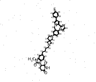 Cn1c(=O)n(C2CCC(=O)NC2=O)c2ccc(CCCCN3CC4(CCN(c5ccc6c(c5)Cn5cc(-c7ccc(F)cc7)cc5-c5nccn5-6)C4)C3)cc21